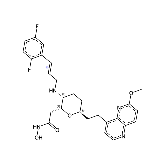 COc1ccc2nccc(CC[C@@H]3CC[C@@H](NC/C=C/c4cc(F)ccc4F)[C@@H](CC(=O)NO)O3)c2n1